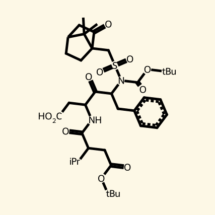 CC(C)C(CC(=O)OC(C)(C)C)C(=O)NC(CC(=O)O)C(=O)C(Cc1ccccc1)N(C(=O)OC(C)(C)C)S(=O)(=O)CC12CCC(CC1=O)C2(C)C